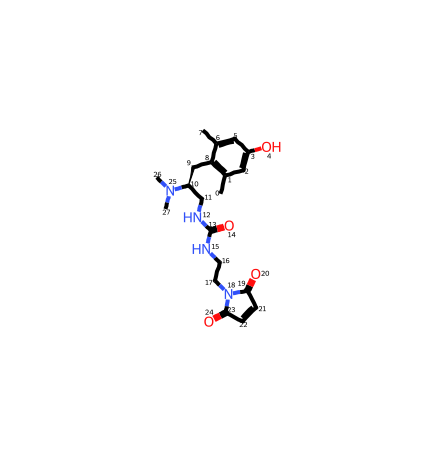 Cc1cc(O)cc(C)c1C[C@@H](CNC(=O)NCCN1C(=O)C=CC1=O)N(C)C